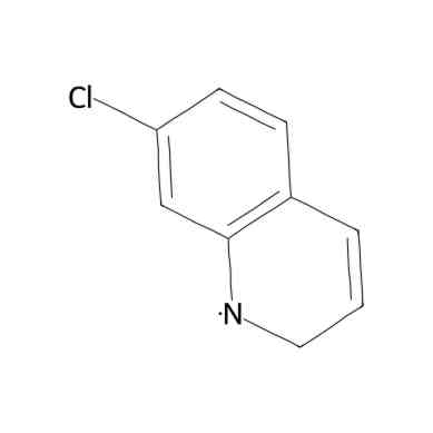 Clc1ccc2c(c1)[N]CC=C2